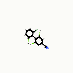 N#Cc1cc(F)c(-c2c(Cl)[c]ccc2F)c(F)c1